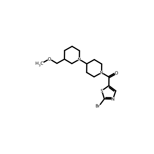 COCC1CCCN(C2CCN(C(=O)c3cnc(Br)s3)CC2)C1